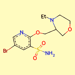 CCN1CCOCC1COc1ncc(Br)cc1S(N)(=O)=O